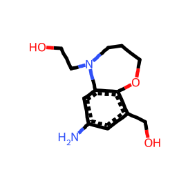 Nc1cc(CO)c2c(c1)N(CCO)CCCO2